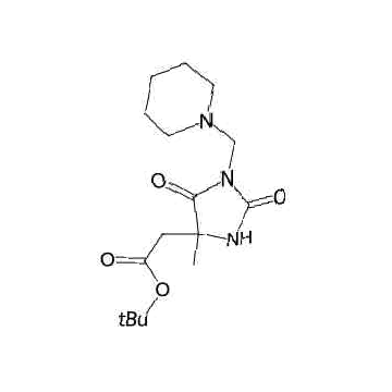 CC(C)(C)OC(=O)CC1(C)NC(=O)N(CN2CCCCC2)C1=O